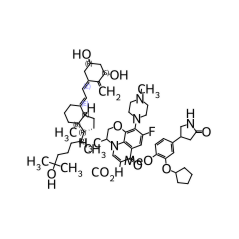 C=C1/C(=C\C=C2/CCC[C@]3(C)[C@@H]([C@H](C)CCCC(C)(C)O)CC[C@@H]23)C[C@@H](O)C[C@@H]1O.CC1COc2c(N3CCN(C)CC3)c(F)cc3c(=O)c(C(=O)O)cn1c23.COc1ccc(C2CNC(=O)C2)cc1OC1CCCC1